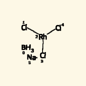 B.[Cl][Rh]([Cl])[Cl].[Na]